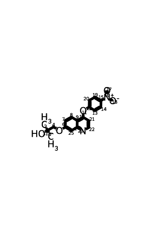 CC(C)(O)COc1ccc2c(Oc3ccc([N+](=O)[O-])cc3)ccnc2c1